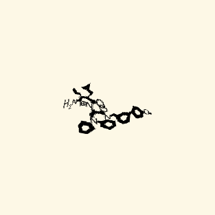 C=CC[C@H](C(N)=O)[C@@H](CC1CC1)C(=O)NC1CN(c2ccccc2)c2ccccc2N(Cc2cccc(-c3ccc(OC)cc3)c2)C1=O